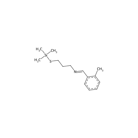 Cc1ccccc1C=NCCCS[Si](C)(C)C